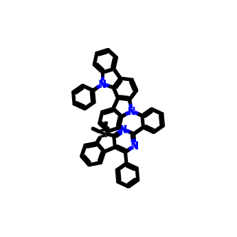 C[Si]1(C)c2ccccc2-c2c(-c3ccccc3)nc(-c3ccccc3-n3c4ccccc4c4c3ccc3c5ccccc5n(-c5ccccc5)c34)nc21